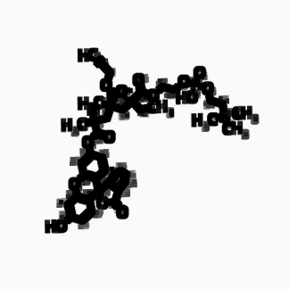 C#CCOC(=O)C(C)(CC(C)(Br)C(=O)Oc1ccc2c(c1)Oc1cc(O)ccc1C21OC(=O)c2ccccc21)CC(C)(CC)C(=O)OCCOP(=O)(O)OCC[N+](C)(C)C